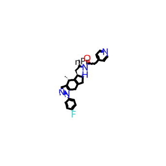 CCCC(C[C@H]1CCC2=C1[C@@H](C)c1cnn(-c3ccc(F)cc3)c1C2)NC(=O)Cc1ccncc1